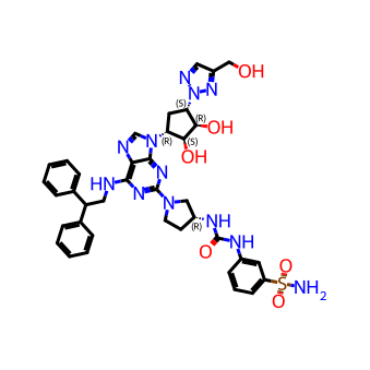 NS(=O)(=O)c1cccc(NC(=O)N[C@@H]2CCN(c3nc(NCC(c4ccccc4)c4ccccc4)c4ncn([C@@H]5C[C@H](n6ncc(CO)n6)[C@@H](O)[C@H]5O)c4n3)C2)c1